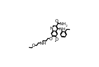 CCOCCNCCCOc1cc2ncc(C(N)=O)c(Nc3ccccc3CC)c2cc1OC